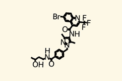 Cc1nn(Cc2ccc(C(=O)NCCC(C)O)cc2)c(C)c1NC(=O)c1cc(C(F)(F)F)nc2ccc(Br)cc12